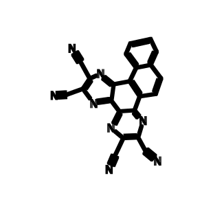 N#Cc1nc2c3ccc4ccccc4c3c3nc(C#N)c(C#N)nc3c2nc1C#N